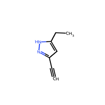 C#Cc1cc(CC)[nH]n1